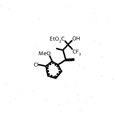 C=C(c1cccc(Cl)c1OC)C(C)C(O)(C(=O)OCC)C(F)(F)F